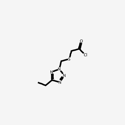 CCc1nnn(CSCC(=O)Cl)n1